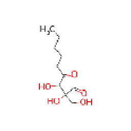 CCCCCC(=O)C(O)C(O)(C=O)CO